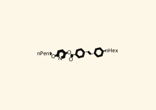 CCCCCC[C@H]1CC[C@H](CC[C@H]2CC[C@H](C(=O)Oc3ccc(OCCCCC)nc3)CC2)CC1